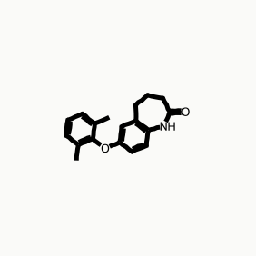 Cc1cccc(C)c1Oc1ccc2c(c1)CCCC(=O)N2